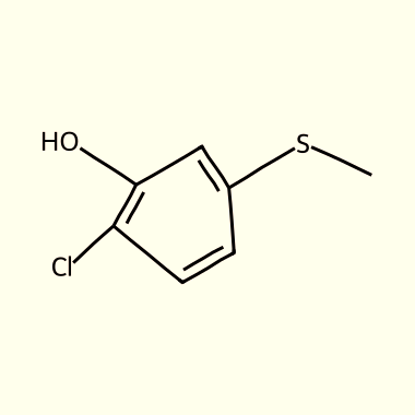 CSc1ccc(Cl)c(O)c1